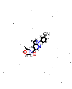 CC1CN(C(=O)c2cnc3c(ccn3-c3cccc(C#N)c3)c2)CCO1